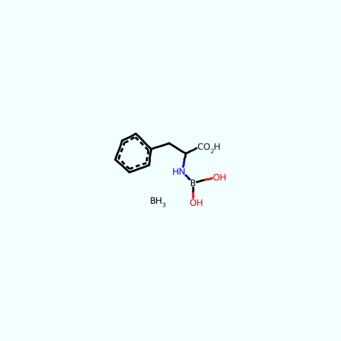 B.O=C(O)C(Cc1ccccc1)NB(O)O